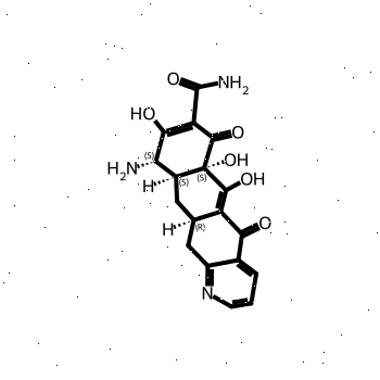 NC(=O)C1=C(O)[C@@H](N)[C@@H]2C[C@@H]3Cc4ncccc4C(=O)C3=C(O)[C@]2(O)C1=O